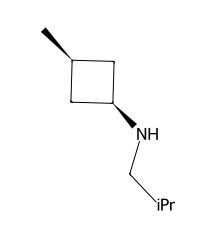 CC(C)CN[C@H]1C[C@@H](C)C1